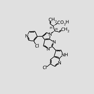 C=C[C@H]([C@@H](C=C)C(=O)O)n1cc(-c2ccncc2Cl)c2cnc(-c3c[nH]c4ncc(Cl)cc34)nc21